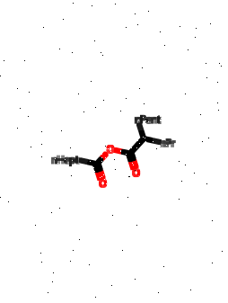 CCCCCCCC(=O)OC(=O)C(CCC)CCCCC